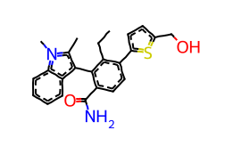 CCc1c(-c2ccc(CO)s2)ccc(C(N)=O)c1-c1c(C)n(C)c2ccccc12